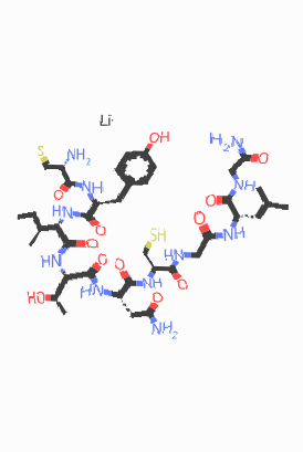 CC[C@H](C)[C@H](NC(=O)[C@H](Cc1ccc(O)cc1)NC(=O)[C@@H](N)C=S)C(=O)N[C@H](C(=O)N[C@@H](CC(N)=O)C(=O)N[C@@H](CS)C(=O)NCC(=O)N[C@@H](CC(C)C)C(=O)NCC(N)=O)[C@@H](C)O.[Li]